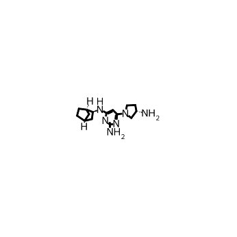 Nc1nc(N[C@H]2C[C@H]3CC[C@@H]2C3)cc(N2CC[C@H](N)C2)n1